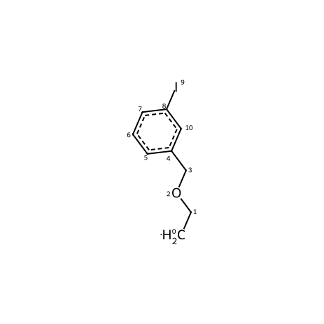 [CH2]COCc1cccc(I)c1